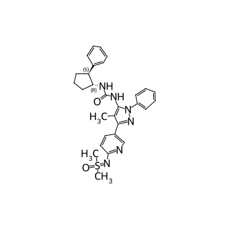 Cc1c(-c2ccc(N=S(C)(C)=O)nc2)nn(-c2ccccc2)c1NC(=O)N[C@@H]1CCC[C@H]1c1ccccc1